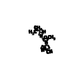 C[C@@H]1CN(c2ccc(C#N)n3nccc23)C[C@H](CN2CC3C(N(C)C)CC[C@@H]3C2)O1